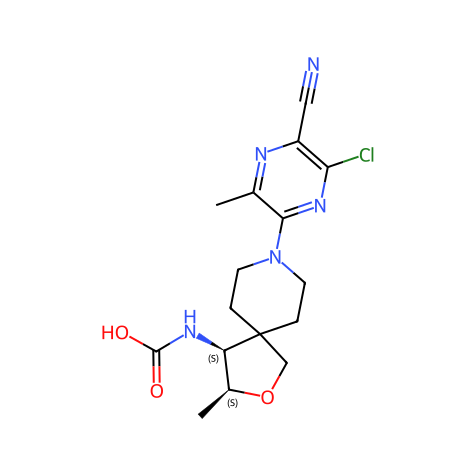 Cc1nc(C#N)c(Cl)nc1N1CCC2(CC1)CO[C@@H](C)[C@H]2NC(=O)O